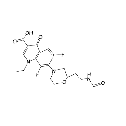 CCn1cc(C(=O)O)c(=O)c2cc(F)c(N3CCOC(CCNC=O)C3)c(F)c21